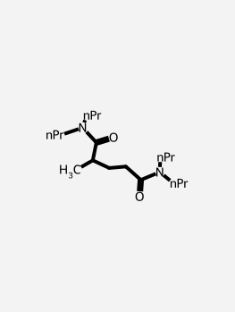 CCCN(CCC)C(=O)CCC(C)C(=O)N(CCC)CCC